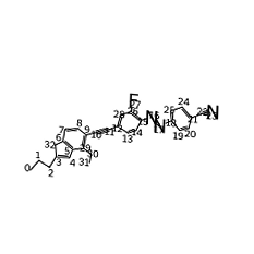 CCCC1=Cc2c(ccc(C#Cc3ccc(N=Nc4ccc(C#N)cc4)c(F)c3)c2CC)C1